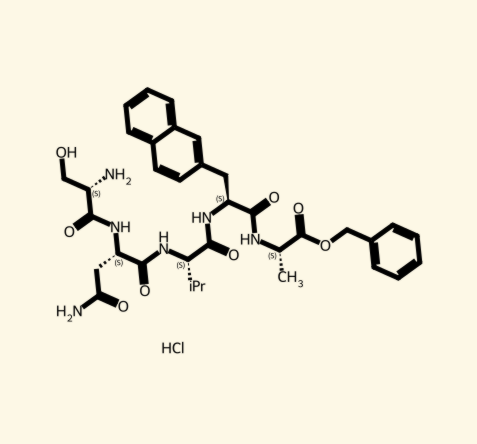 CC(C)[C@H](NC(=O)[C@H](CC(N)=O)NC(=O)[C@@H](N)CO)C(=O)N[C@@H](Cc1ccc2ccccc2c1)C(=O)N[C@@H](C)C(=O)OCc1ccccc1.Cl